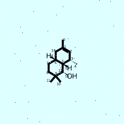 CC1=C[C@H](C)[C@H]2[C@H](CCC(C)(C)[C@H]2O)C1